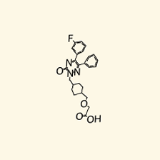 O=C(O)COCC1CCC(Cn2nc(-c3ccccc3)c(-c3cccc(F)c3)nc2=O)CC1